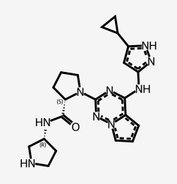 O=C(N[C@@H]1CCNC1)[C@@H]1CCCN1c1nc(Nc2cc(C3CC3)[nH]n2)c2cccn2n1